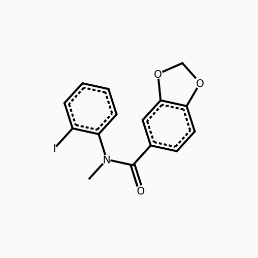 CN(C(=O)c1ccc2c(c1)OCO2)c1ccccc1I